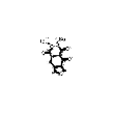 CC(C)(C)OC(=O)C1C(=O)c2cocc2CN1C(=O)OC(C)(C)C